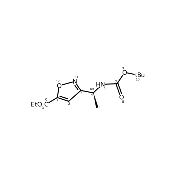 CCOC(=O)c1cc([C@H](C)NC(=O)OC(C)(C)C)no1